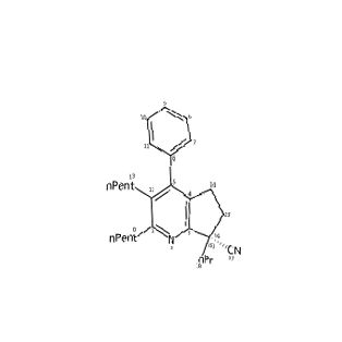 CCCCCc1nc2c(c(-c3ccccc3)c1CCCCC)CC[C@@]2(C#N)CCC